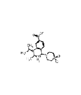 CC(C)N(c1cc([N+](=O)[O-])ccc1C(=O)N1CCS(=O)(=O)CC1)C(C)C